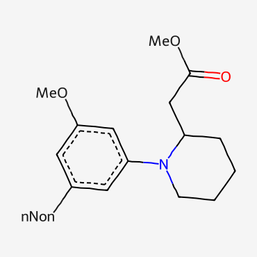 CCCCCCCCCc1cc(OC)cc(N2CCCCC2CC(=O)OC)c1